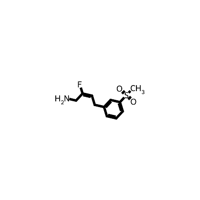 CS(=O)(=O)c1cccc(C/C=C(/F)CN)c1